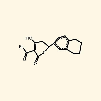 CCC(=O)C1=C(O)CC(c2ccc3c(c2)CCCC3)CC1=O